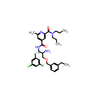 CCCN(CCC)C(=O)c1cc(C(=O)N[C@@H](Cc2cc(F)cc(F)c2)C(N)COCc2cccc(CC)c2)cc(C)n1